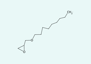 [CH2]CCCCCCCCOCC1CO1